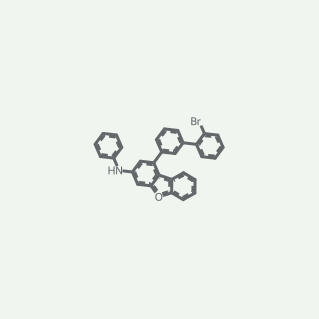 Brc1ccccc1-c1cccc(-c2cc(Nc3ccccc3)cc3oc4ccccc4c23)c1